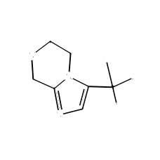 FC(F)(F)c1cnc2n1CCNC2